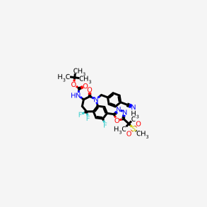 CC(C)(C)OC(=O)NC1CC(F)(F)c2cc(F)c(-c3nnc(C(C)(C)S(C)(=O)=O)o3)cc2N(Cc2ccc(C#N)cc2)C1=O